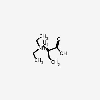 C=C(CC)C(=O)O.CCNCC